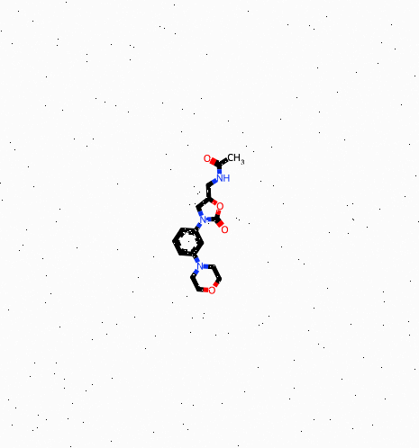 CC(=O)NCC1CN(c2cccc(N3CCOCC3)c2)C(=O)O1